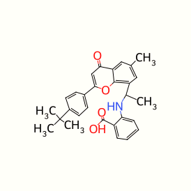 Cc1cc(C(C)Nc2ccccc2C(=O)O)c2oc(-c3ccc(C(C)(C)C)cc3)cc(=O)c2c1